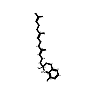 CC(C)=CCC/C(C)=C/CC/C(C)=C/CC[C@]1(C)CCc2c[c]cc(C)c2O1